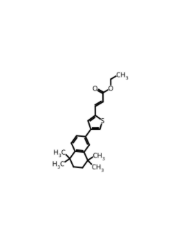 CCOC(=O)C=Cc1cc(-c2ccc3c(c2)C(C)(C)CCC3(C)C)cs1